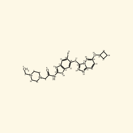 CCN1CCN(CC(=O)Nc2nc3cc(F)c(Sc4nnc5ccc(OC6CCC6)nn45)cc3s2)CC1